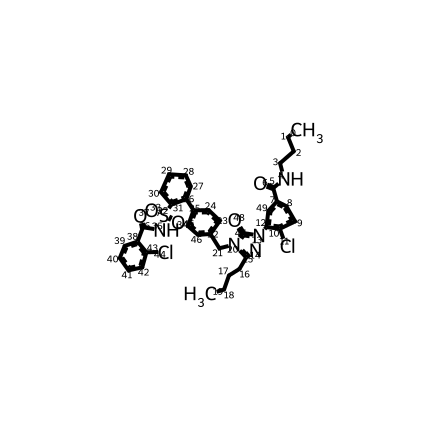 CCCCNC(=O)c1ccc(Cl)c(-n2nc(CCCC)n(Cc3ccc(-c4ccccc4S(=O)(=O)NC(=O)c4ccccc4Cl)cc3)c2=O)c1